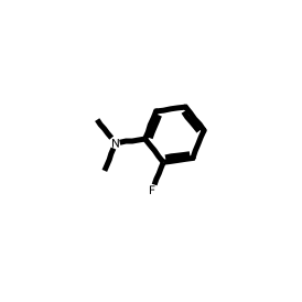 CN(C)c1ccccc1F